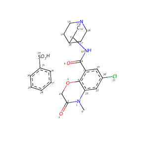 CN1C(=O)COc2c(C(=O)NC3CN4CCC3CC4)cc(Cl)cc21.O=S(=O)(O)c1ccccc1